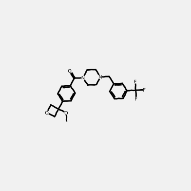 COC1(c2ccc(C(=O)N3CCN(Cc4cccc(C(F)(F)F)c4)CC3)cc2)COC1